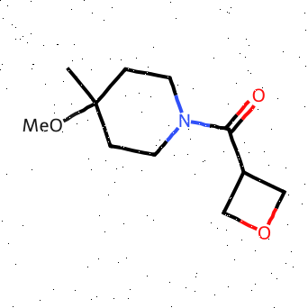 COC1(C)CCN(C(=O)C2COC2)CC1